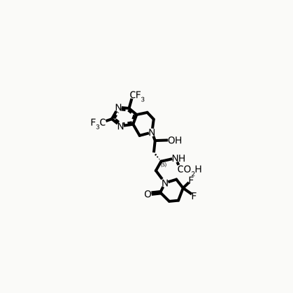 O=C(O)N[C@@H](CC(O)N1CCc2c(nc(C(F)(F)F)nc2C(F)(F)F)C1)CN1CC(F)(F)CCC1=O